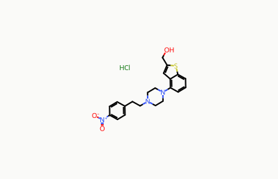 Cl.O=[N+]([O-])c1ccc(CCN2CCN(c3cccc4sc(CO)cc34)CC2)cc1